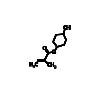 C/C=C(\C)C(=O)OC1CCC(O)CC1